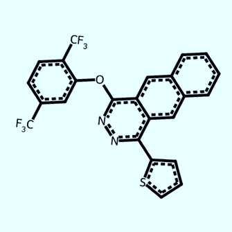 FC(F)(F)c1ccc(C(F)(F)F)c(Oc2nnc(-c3cccs3)c3cc4ccccc4cc23)c1